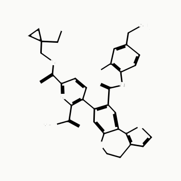 COC(=O)c1nc(C(=O)NCC2(CO)CC2)ccc1-c1cc2c(cc1C(=O)Nc1ccc(CN)cc1C)-c1sccc1CCO2